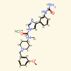 COc1cccc(CN2CCC(N(C)C(=O)n3cnc(-c4cccc(NC(N)=O)c4)c3)CC2)c1.Cl